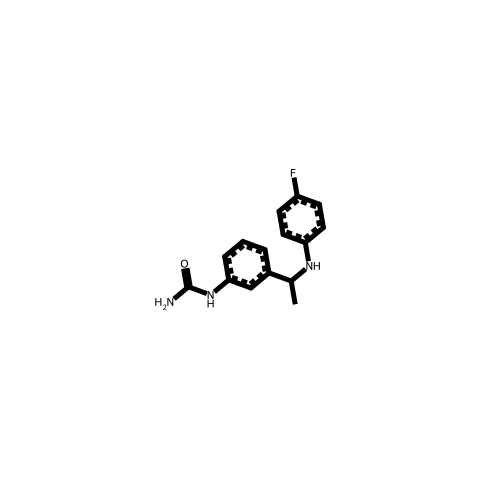 CC(Nc1ccc(F)cc1)c1cccc(NC(N)=O)c1